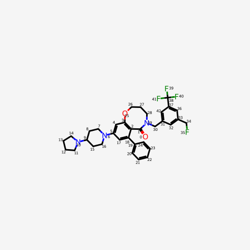 O=C1c2c(cc(N3CCC(N4CCCC4)CC3)cc2-c2ccccc2)OCCCN1Cc1cc(CF)cc(C(F)(F)F)c1